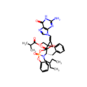 CCC(CC)CN([C@@H](Cc1ccccc1)C(=O)O)[P@](=O)(OCC1(COC(=O)C(C)C)C/C1=C/n1cnc2c(=O)[nH]c(N)nc21)Oc1ccccc1